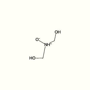 [O-][NH+](CO)CO